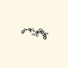 Cc1c(Nc2nc3ccccc3s2)nnc2c1CCCN2c1nc(C(=O)O)c(CCCOc2ccc(C#CC(C)N3CCN(C)CC3)cc2F)s1